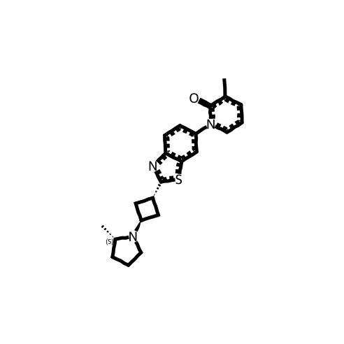 Cc1cccn(-c2ccc3nc([C@H]4C[C@H](N5CCC[C@@H]5C)C4)sc3c2)c1=O